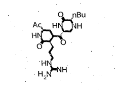 CCCC[C@@H]1NC[C@H](C(=O)C2C[C@H](C(C)=O)NC(=O)[C@@H]2CCCNC(=N)N)NC1=O